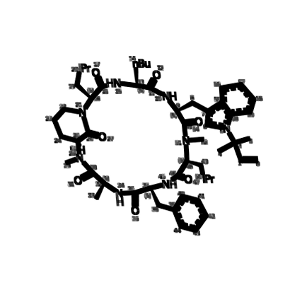 C=CC(C)(C)n1cc(C[C@@H]2NC(=O)[C@H](CCCC)NC(=O)[C@H](CC(C)C)N3CCC[C@@H](C3=O)N(C)C(=O)[C@H](C)NC(=O)[C@H](Cc3ccccc3)NC(=O)[C@H](CC(C)C)N(C)C2=O)c2ccccc21